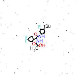 CC(O)C(=O)NC(C(=O)Nc1ccc(C(C)(C)C)c(F)c1)C1CCC(F)(F)CC1